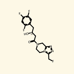 O=C(C[C@@H](O)Cc1cc(F)c(F)cc1F)N1CCn2c(CF)nnc2C1